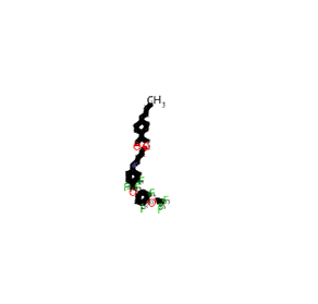 CCCCCC1CCC(C2COC(CC/C=C/c3ccc(C(F)(F)Oc4cc(F)c(OC=C(F)F)c(F)c4)c(F)c3)OC2)CC1